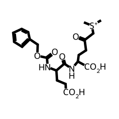 C[S+](C)CC(=O)CCC(NC(=O)C(CCC(=O)O)NC(=O)OCc1ccccc1)C(=O)O